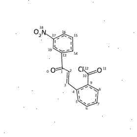 O=C(C=Cc1ccccc1C(=O)Cl)c1cccc([N+](=O)[O-])c1